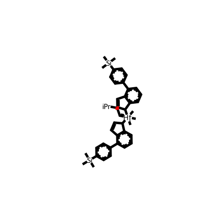 CC(C)C[CH]=[Hf]([CH3])([CH3])([CH3])([CH]1C=Cc2c(-c3ccc([Si](C)(C)C)cc3)cccc21)[CH]1C=Cc2c(-c3ccc([Si](C)(C)C)cc3)cccc21